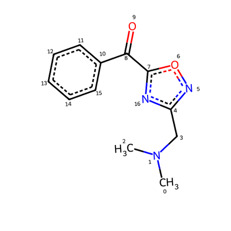 CN(C)Cc1noc(C(=O)c2ccccc2)n1